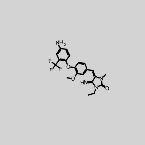 CCN1C(=N)/C(=C\c2ccc(Oc3ccc(N)cc3C(F)(F)F)c(OC)c2)N(C)C1=O